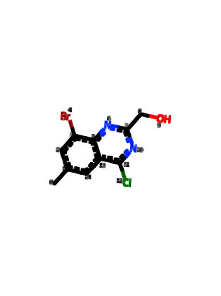 Cc1cc(Br)c2nc(CO)nc(Cl)c2c1